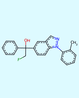 Cc1ccccc1-n1ncc2cc(C(O)(CF)c3ccccc3)ccc21